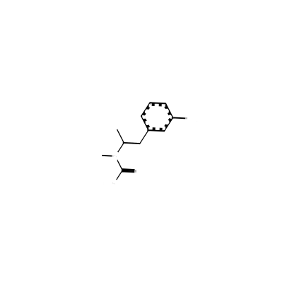 CCN(C(N)=O)C(C)Cc1cccc(C(F)(F)F)c1